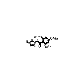 COc1cc(OC)c(C(=O)CN2C=CN(C)C2)c(OC)c1